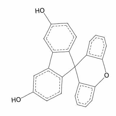 Oc1ccc2c(c1)-c1cc(O)ccc1C21c2ccccc2Oc2ccccc21